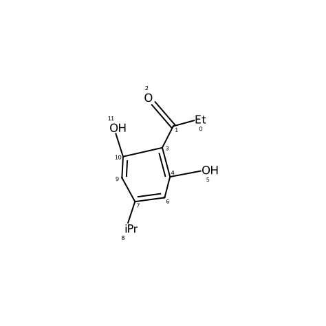 CCC(=O)c1c(O)cc(C(C)C)cc1O